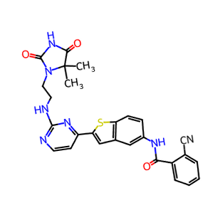 CC1(C)C(=O)NC(=O)N1CCNc1nccc(-c2cc3cc(NC(=O)c4ccccc4C#N)ccc3s2)n1